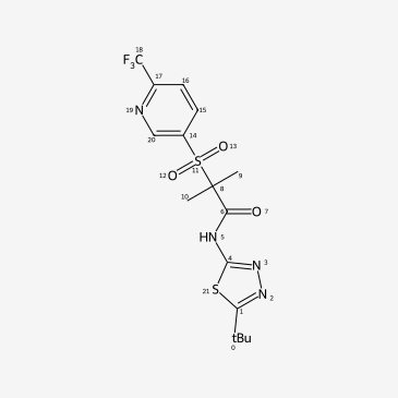 CC(C)(C)c1nnc(NC(=O)C(C)(C)S(=O)(=O)c2ccc(C(F)(F)F)nc2)s1